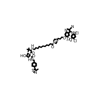 COc1cc(Nc2c(C#N)cnc3cc(OCCCN4CCN(C(=O)CCCCCCCCCCNC(C(=O)N5C[C@H](O)C[C@H]5C(=O)NCc5ccc(-c6scnc6C)cc5)C(C)(C)C)CC4)c(OC)cc23)c(Cl)cc1Cl